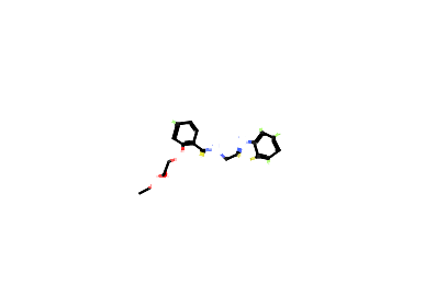 CCOC(=O)COc1cc(F)ccc1C(=S)NCc1nc2c(F)c(F)cc(F)c2s1